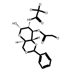 O=C(CCl)O[C@@H]1[C@@H](NC(=O)C(Cl)(Cl)Cl)[C@@H](O)O[C@@H]2COC(c3ccccc3)O[C@@H]12